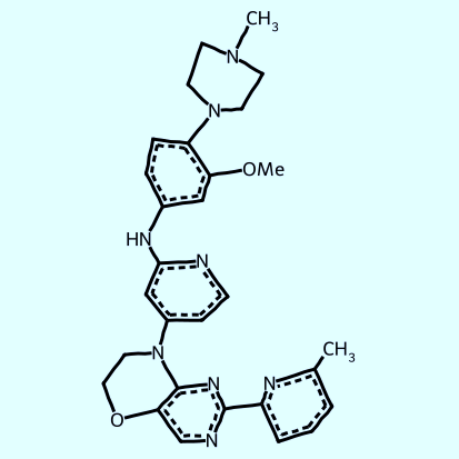 COc1cc(Nc2cc(N3CCOc4cnc(-c5cccc(C)n5)nc43)ccn2)ccc1N1CCN(C)CC1